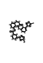 Cc1nc(-c2cccc(Cn3c(=O)ccc4cccc(OC(=O)c5cccc(-c6noc(C)n6)c5)c43)c2)no1